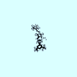 CN1C(=O)N(CC[C@@H](N)C(=O)O)C(=O)/C1=C/n1cnc(-c2cc(C(F)(F)F)cc(C(F)(F)F)c2)n1